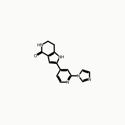 O=C1NCCc2[nH]c(-c3ccnc(-n4ccnc4)c3)cc21